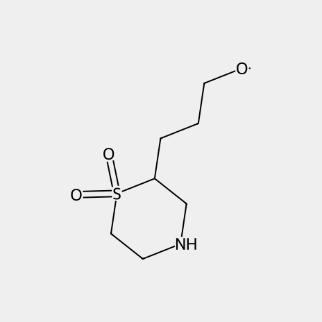 [O]CCCC1CNCCS1(=O)=O